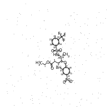 CCOC(=O)CC[C@H](Oc1ccc([N+](=O)[O-])cc1Br)[C@@H](C)NS(=O)(=O)c1cccc(C(F)(F)F)c1